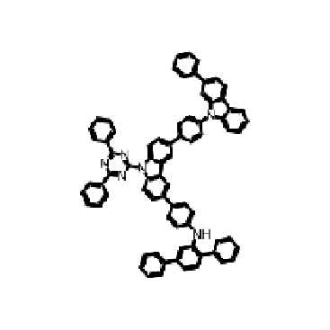 C1=CC(c2ccc3c(c2)c2cc(-c4ccc(Nc5cc(-c6ccccc6)ccc5-c5ccccc5)cc4)ccc2n3-c2nc(-c3ccccc3)nc(-c3ccccc3)n2)CC=C1n1c2ccccc2c2ccc(-c3ccccc3)cc21